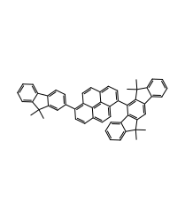 CC1(C)c2ccccc2-c2ccc(-c3ccc4ccc5c(-c6c7c(cc8c6C(C)(C)c6ccccc6-8)C(C)(C)c6ccccc6-7)ccc6ccc3c4c65)cc21